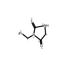 CC(C)CN1C(=O)CNC1=S